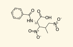 CC(C[N+](=O)[O-])C([C@H](NC(=O)c1ccccc1)C(=O)O)[N+](=O)[O-]